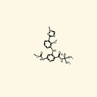 BC(B)(B)NC(=O)c1cnc(NC(=O)OC)cc1Nc1cccc(-c2ncn(C)n2)c1OC